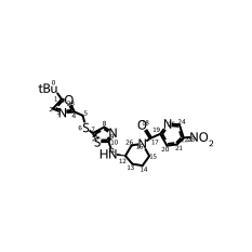 CC(C)(C)c1cnc(CSc2cnc(N[C@@H]3CCCN(C(=O)c4ccc([N+](=O)[O-])cn4)C3)s2)o1